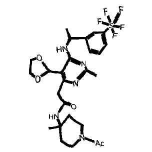 CC(=O)N1CCC(C)(NC(=O)Cc2nc(C)nc(NC(C)c3cccc(S(F)(F)(F)(F)F)c3)c2C2OCCO2)CC1